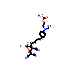 CCN(CCOC(C)=O)c1ccc(/C=C/C=C/C2=C(C#N)C(=C(C#N)C#N)OC2(C)C)cc1